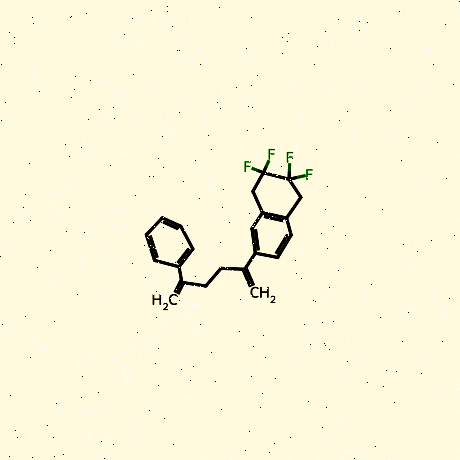 C=C(CCC(=C)c1ccc2c(c1)CC(F)(F)C(F)(F)C2)c1ccccc1